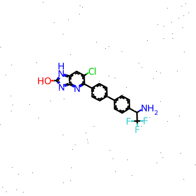 NC(c1ccc(-c2ccc(-c3nc4nc(O)[nH]c4cc3Cl)cc2)cc1)C(F)(F)F